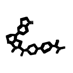 C[C@@H](c1cc2c(-c3ccc4[nH]ccc4c3)ccnc2n1C)N1CCC(c2ccc(C(=O)N(C)C)cc2)CC1